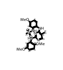 COc1ccc(Nc2nc(Nc3cc(OC)ccc3OC)ncc2F)c(NS(C)(=O)=O)c1